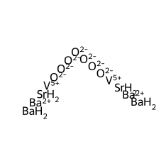 [Ba+2].[Ba+2].[BaH2].[BaH2].[O-2].[O-2].[O-2].[O-2].[O-2].[O-2].[O-2].[SrH2].[SrH2].[V+5].[V+5]